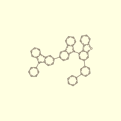 c1ccc(-c2cccc(-c3cc(-n4c5ccccc5c5cc(-c6ccc7c(c6)c6ccccc6n7-c6ccccc6)ccc54)c4c(c3)oc3ccccc34)c2)cc1